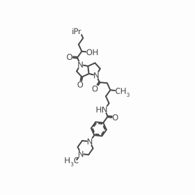 CC(C)CCC(O)C(=O)N1CC(=O)C2C1CCN2C(=O)CC(C)CCNC(=O)c1ccc(N2CCN(C)CC2)cc1